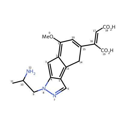 COC1=C2C=c3c(cnn3CC(C)N)=C2CC(/C(=C/C(=O)O)C(=O)O)=C1